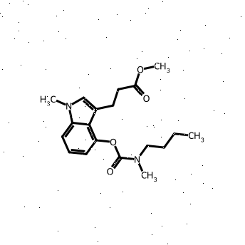 CCCCN(C)C(=O)Oc1cccc2c1c(CCC(=O)OC)cn2C